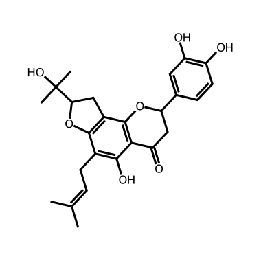 CC(C)=CCc1c(O)c2c(c3c1OC(C(C)(C)O)C3)OC(c1ccc(O)c(O)c1)CC2=O